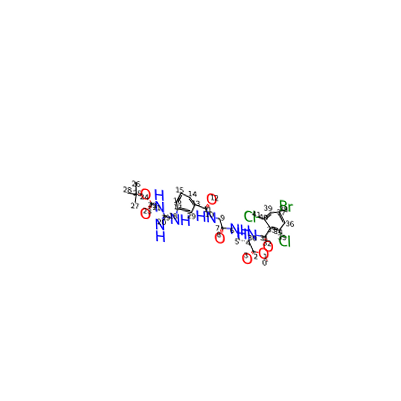 COC(=O)[C@H](CNC(=O)CNC(=O)c1cccc(NC(=N)NC(=O)OC(C)(C)C)c1)NC(=O)c1c(Cl)cc(Br)cc1Cl